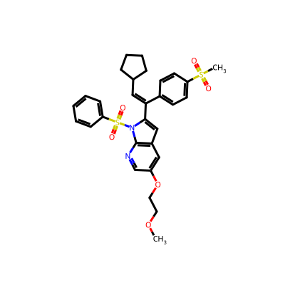 COCCOc1cnc2c(c1)cc(C(=CC1CCCC1)c1ccc(S(C)(=O)=O)cc1)n2S(=O)(=O)c1ccccc1